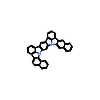 c1ccc2cc3c(cc2c1)c1cccc2c4cc5c6cccc7c8ccc9ccccc9c8n(c5cc4n3c12)c67